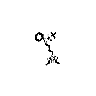 CCO[SiH](CCCCN(c1ccccc1)[Si](C)(C)C(C)(C)C)OCC